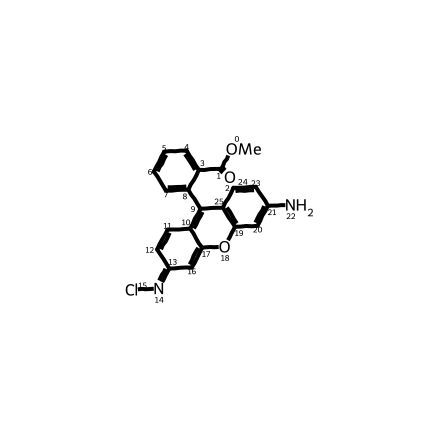 COC(=O)c1ccccc1-c1c2cc/c(=N\Cl)cc-2oc2cc(N)ccc12